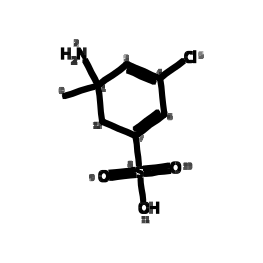 CC1(N)C=C(Cl)C=C(S(=O)(=O)O)C1